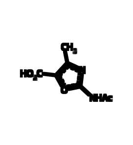 CC(=O)Nc1nc(C)c(C(=O)O)o1